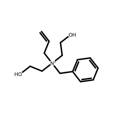 C=CC[N+](CCO)(CCO)Cc1ccccc1